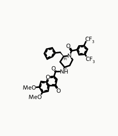 COc1cc2oc(C(=O)N[C@H]3CCN(C(=O)c4cc(C(F)(F)F)cc(C(F)(F)F)c4)[C@H](Cc4ccccc4)C3)cc(=O)c2cc1OC